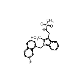 CS(=O)(=O)NCc1c(C(=O)O)n(Cc2cccc3ccc(F)cc23)c2ccccc12